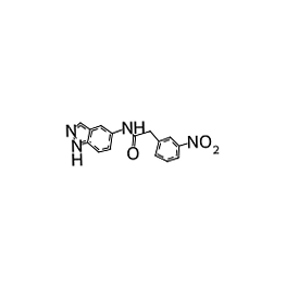 O=C(Cc1cccc([N+](=O)[O-])c1)Nc1ccc2[nH]ncc2c1